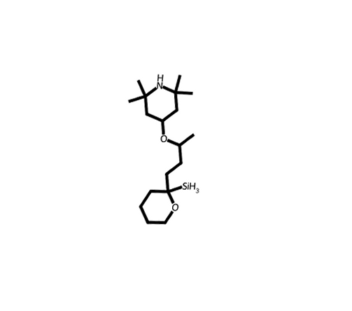 CC(CCC1([SiH3])CCCCO1)OC1CC(C)(C)NC(C)(C)C1